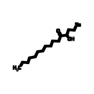 CCCCCCCCCCCC(=O)C(O)C[CH2][Na]